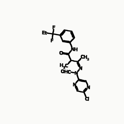 CCC(F)(F)c1cccc(NC(=O)C(C)/C(C)=N\N(C=O)c2cnc(Cl)cn2)c1